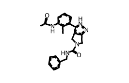 CC(=O)Nc1cccc(-c2[nH]nc3c2CN(C(=O)NCc2ccccc2)C3)c1C